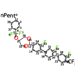 CCCCCc1ccc(C(F)(F)OC2COC(c3ccc(-c4ccc(-c5ccc(C(F)(F)F)c(F)c5)c(F)c4)c(F)c3)OC2)cc1